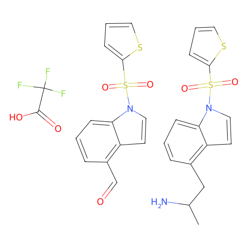 CC(N)Cc1cccc2c1ccn2S(=O)(=O)c1cccs1.O=C(O)C(F)(F)F.O=Cc1cccc2c1ccn2S(=O)(=O)c1cccs1